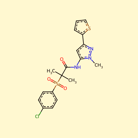 Cn1nc(-c2cccs2)cc1NC(=O)C(C)(C)S(=O)(=O)c1ccc(Cl)cc1